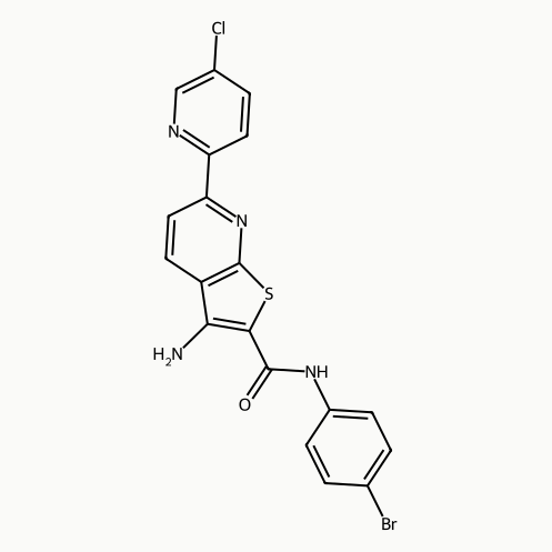 Nc1c(C(=O)Nc2ccc(Br)cc2)sc2nc(-c3ccc(Cl)cn3)ccc12